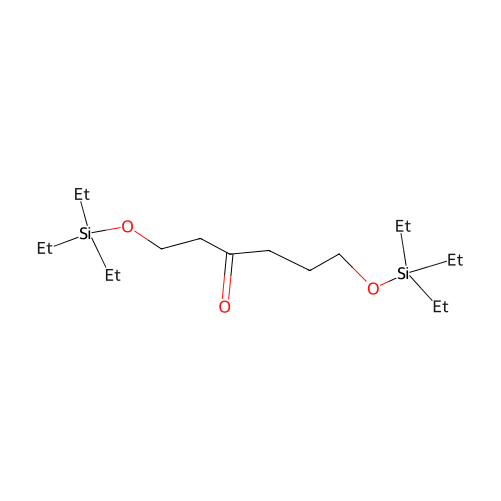 CC[Si](CC)(CC)OCCCC(=O)CCO[Si](CC)(CC)CC